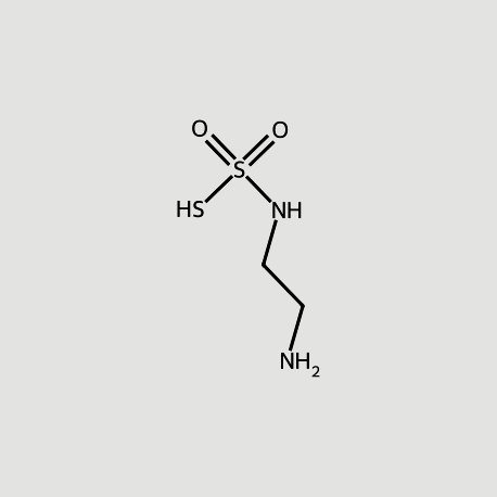 NCCNS(=O)(=O)S